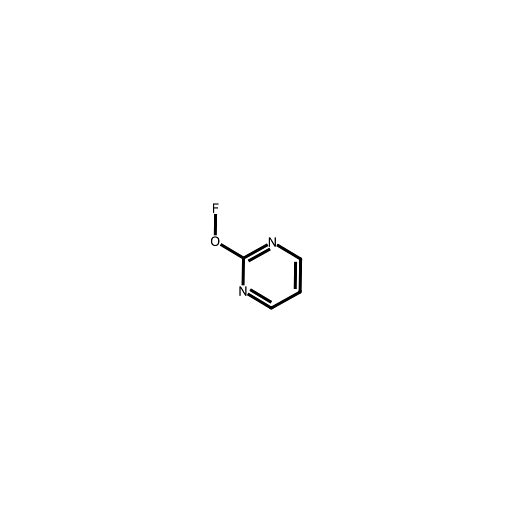 FOc1ncccn1